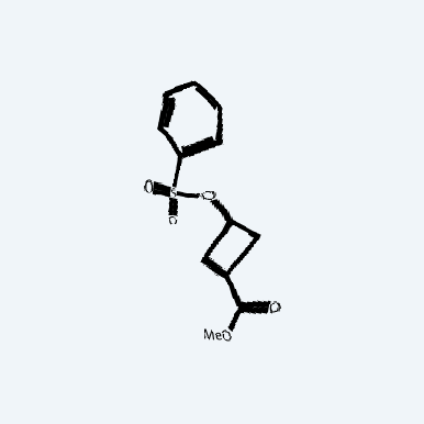 COC(=O)C1CC(OS(=O)(=O)c2ccccc2)C1